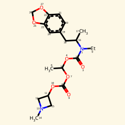 CCN(C(=O)OC(C)OC(=O)OC1CN(C)C1)C(C)Cc1ccc2c(c1)OCO2